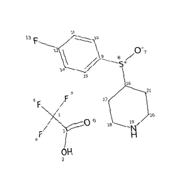 O=C(O)C(F)(F)F.[O-][S+](c1ccc(F)cc1)C1CCNCC1